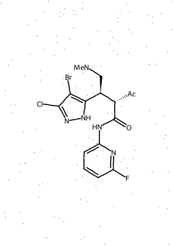 CNC[C@H](c1[nH]nc(Cl)c1Br)[C@H](C(C)=O)C(=O)Nc1cccc(F)n1